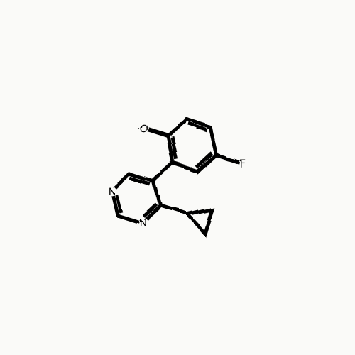 [O]c1ccc(F)cc1-c1cncnc1C1CC1